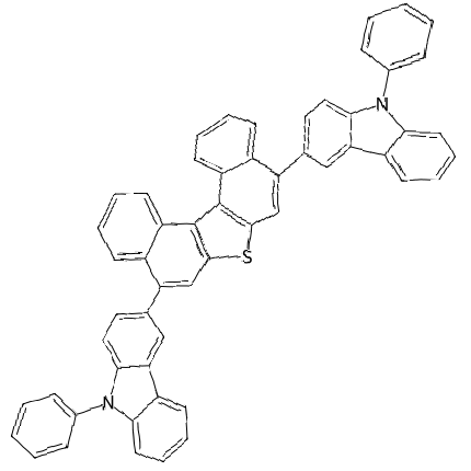 c1ccc(-n2c3ccccc3c3cc(-c4cc5sc6cc(-c7ccc8c(c7)c7ccccc7n8-c7ccccc7)c7ccccc7c6c5c5ccccc45)ccc32)cc1